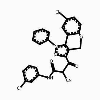 N#CC(C(=O)Nc1cccc(Cl)c1)C(=O)c1nn(-c2ccccc2)c2c1COc1ccc(Cl)cc1-2